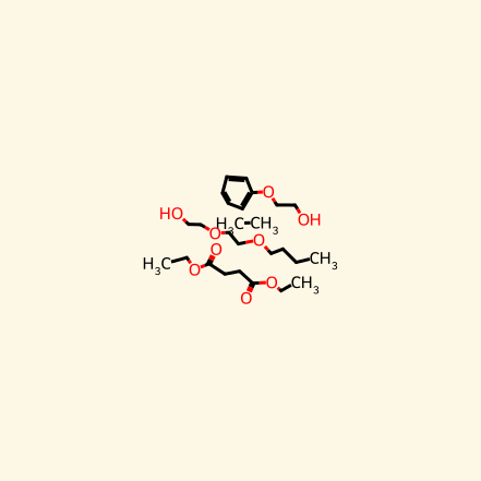 CC.CCCCOCCOCCO.CCOC(=O)CCC(=O)OCC.OCCOc1ccccc1